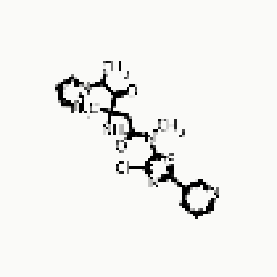 CC(C(=O)C(C)(N)CC(=O)N(C)c1sc(-c2cccnc2)nc1Cl)n1cccn1